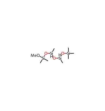 CO[Si](C)(C)O[SiH](C)O[SiH](C)O[Si](C)(C)C